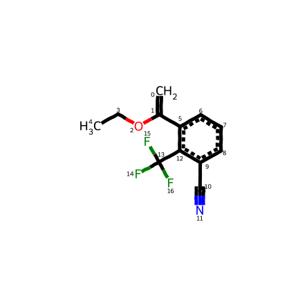 C=C(OCC)c1cccc(C#N)c1C(F)(F)F